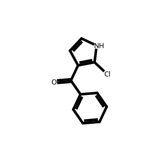 O=C(c1ccccc1)c1cc[nH]c1Cl